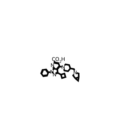 O=C(O)c1cc(N2CCC(CN3CC4CC4C3)CC2)c2c(C3CCC3)nn(-c3ccccc3)c2n1